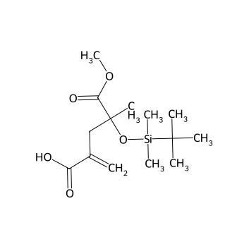 C=C(CC(C)(O[Si](C)(C)C(C)(C)C)C(=O)OC)C(=O)O